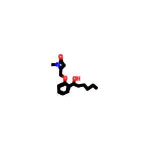 CCCCCC(O)c1ccccc1OCC1CC(=O)N1C